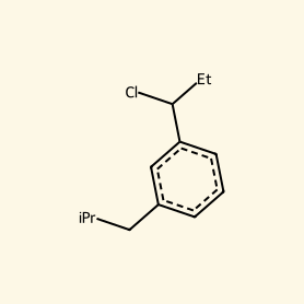 CCC(Cl)c1cccc(CC(C)C)c1